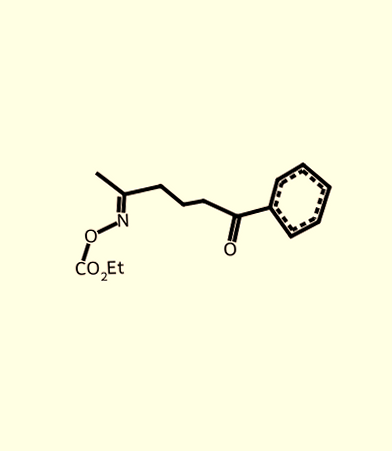 CCOC(=O)ON=C(C)CCCC(=O)c1ccccc1